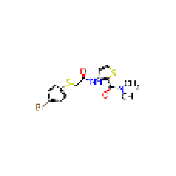 CN(C)C(=O)c1sccc1NC(=O)CSc1ccc(Br)cc1